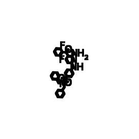 Nc1nc(Nc2ccc(S(=O)(=O)N(Cc3ccccc3)Cc3ccccc3)cc2)ccc1C(=O)c1c(F)cccc1F